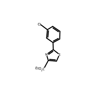 CCOC(=O)c1csc(-c2cccc(Cl)c2)n1